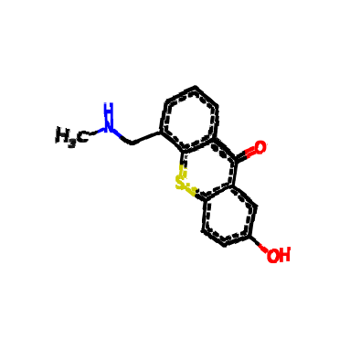 CNCc1cccc2c(=O)c3cc(O)ccc3sc12